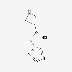 Cl.c1ncc(COC2CNC2)s1